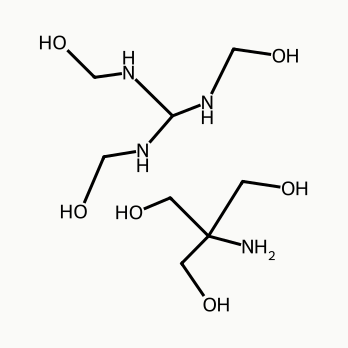 NC(CO)(CO)CO.OCNC(NCO)NCO